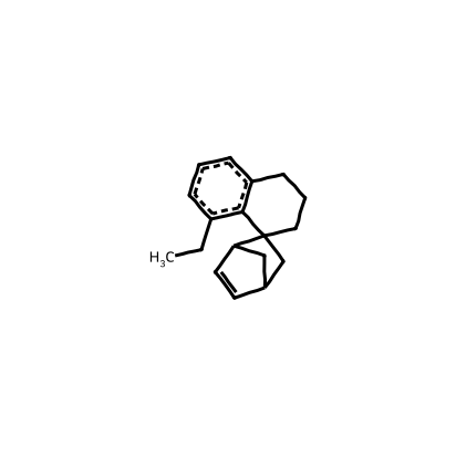 CCc1cccc2c1C1(CCC2)CC2C=CC1C2